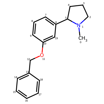 CN1CCCC1c1cccc(OCc2ccccc2)c1